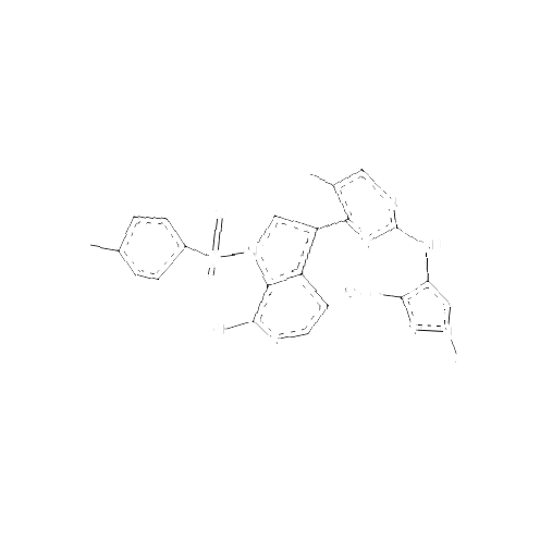 COc1nn(C)cc1Nc1ncc(F)c(-c2cn(S(=O)(=O)c3ccc(C)cc3)c3c(Cl)nccc23)n1